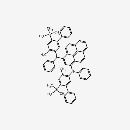 Cc1cc([Si](C)(C)C)c(-c2ccccc2)cc1N(c1ccccc1)c1cc(N(c2ccccc2)c2cc(-c3ccccc3)c([Si](C)(C)C)cc2C)c2ccc3cccc4ccc1c2c43